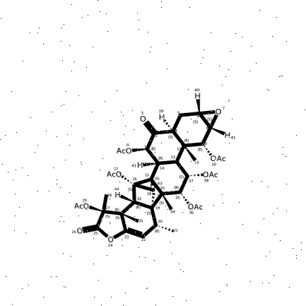 CC(=O)O[C@H]1C(=O)[C@H]2C[C@@H]3O[C@@H]3[C@H](OC(C)=O)[C@]2(C)C2[C@@H]1[C@@H]1[C@@]3(OC(C)=O)C[C@@]4([C@H](C)C=C5OC(=O)[C@@](C)(OC(C)=O)[C@]5(C)[C@H]34)[C@@]1(C)[C@@H](OC(C)=O)[C@H]2OC(C)=O